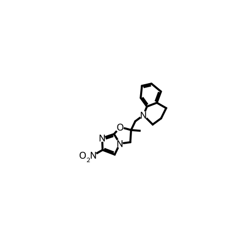 CC1(CN2CCCc3ccccc32)Cn2cc([N+](=O)[O-])nc2O1